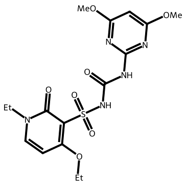 CCOc1ccn(CC)c(=O)c1S(=O)(=O)NC(=O)Nc1nc(OC)cc(OC)n1